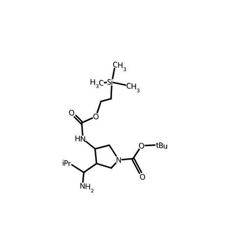 CC(C)C(N)C1CN(C(=O)OC(C)(C)C)CC1NC(=O)OCC[Si](C)(C)C